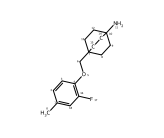 Cc1ccc(OCC23CCC(N)(CC2)CC3)c(F)c1